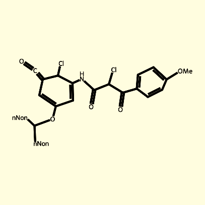 CCCCCCCCCC(CCCCCCCCC)OC1=CC(=C=O)C(Cl)C(NC(=O)C(Cl)C(=O)c2ccc(OC)cc2)=C1